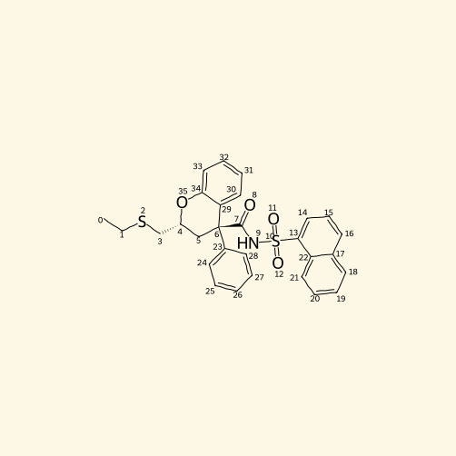 CCSC[C@H]1C[C@@](C(=O)NS(=O)(=O)c2cccc3ccccc23)(c2ccccc2)c2ccccc2O1